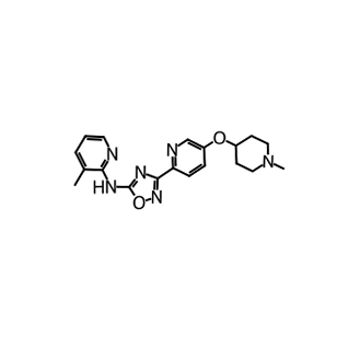 Cc1cccnc1Nc1nc(-c2ccc(OC3CCN(C)CC3)cn2)no1